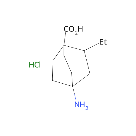 CCC1CC2(N)CCC1(C(=O)O)CC2.Cl